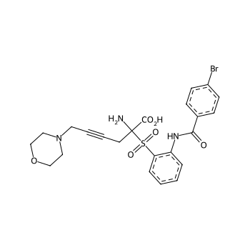 NC(CC#CCN1CCOCC1)(C(=O)O)S(=O)(=O)c1ccccc1NC(=O)c1ccc(Br)cc1